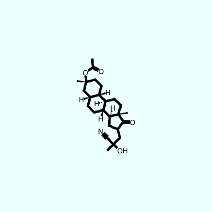 CC(=O)O[C@]1(C)CC[C@H]2[C@H](CC[C@@H]3[C@@H]2CC[C@]2(C)C(=O)C(CC(C)(O)C#N)C[C@@H]32)C1